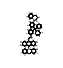 C1=CCC(C2(c3ccccc3)c3cc(/C=C/c4c5ccccc5c(N5c6ccccc6Cc6ccccc65)c5ccccc45)ccc3-c3ccc(N4CCCc5ccccc54)cc32)C=C1